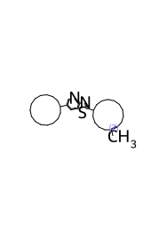 C/C1=C/CCCCCCCCC(c2nc3ncc(C4CCCCCCCCCCCCCC4)cc3s2)CCCC1